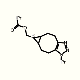 CC(C)C(=O)OC[C@H]1C2CCc3nnn(C(C)C)c3CCC21